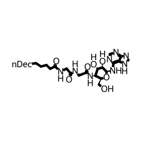 CCCCCCCCCCCCCCC(=O)NCC(=O)NCC(=O)N[C@@H]1[C@@H](O)[C@H](O)[C@@H](Nc2ncnc3nc[nH]c23)O[C@H]1CO